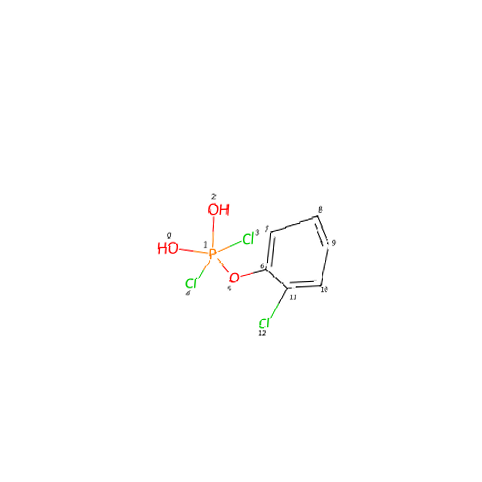 OP(O)(Cl)(Cl)Oc1ccccc1Cl